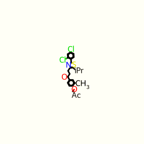 CC(=O)COc1ccc(C(=O)CCc2nc(-c3ccc(Cl)cc3Cl)sc2C(C)C)cc1C